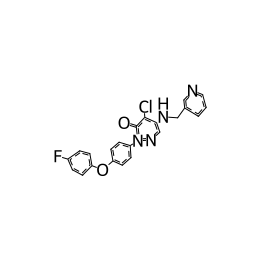 O=c1c(Cl)c(NCc2cccnc2)cnn1-c1ccc(Oc2ccc(F)cc2)cc1